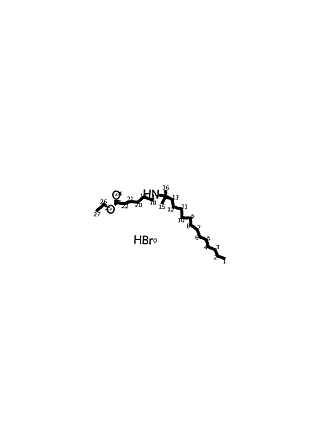 Br.CCCCCCCCCCCCCC(C)(C)NCCCCCC(=O)OCC